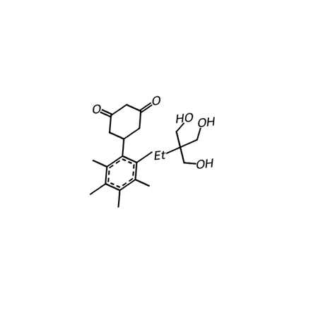 CCC(CO)(CO)CO.Cc1c(C)c(C)c(C2CC(=O)CC(=O)C2)c(C)c1C